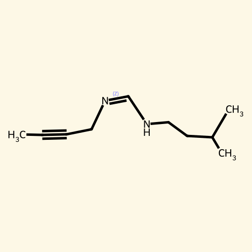 CC#CC/N=C\NCCC(C)C